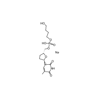 Cc1cn([C@H]2CC[C@H](COP(=O)(O)OCCCCO)O2)c(=O)[nH]c1=O.[Na]